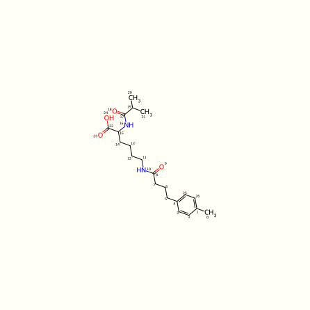 Cc1ccc(CCCC(=O)NCCCCC(NC(=O)C(C)C)C(=O)O)cc1